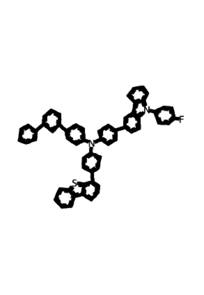 Fc1ccc(-n2c3ccccc3c3cc(-c4ccc(N(c5ccc(-c6cccc(-c7ccccc7)c6)cc5)c5ccc(-c6cccc7c6sc6ccccc67)cc5)cc4)ccc32)cc1